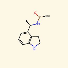 C[C@@H](N[S@@+]([O-])C(C)(C)C)c1cccc2c1CCN2